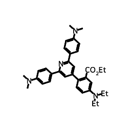 CCOC(=O)c1cc(N(CC)CC)ccc1-c1cc(-c2ccc(N(C)C)cc2)nc(-c2ccc(N(C)C)cc2)c1